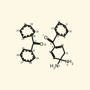 NC1(N)C=CC(C(=O)c2ccccc2)=CC1.O=C(c1ccccc1)c1ccccc1